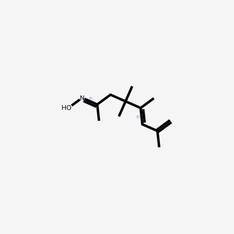 C=C(C)/C=C(\C)C(C)(C)C/C(C)=N/O